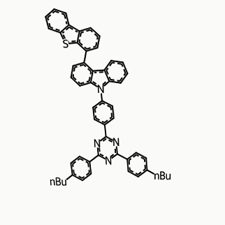 CCCCc1ccc(-c2nc(-c3ccc(CCCC)cc3)nc(-c3ccc(-n4c5ccccc5c5c(-c6cccc7c6sc6ccccc67)cccc54)cc3)n2)cc1